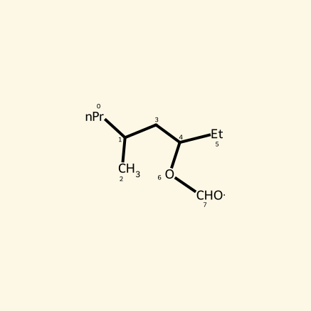 CCCC(C)CC(CC)O[C]=O